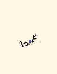 Nc1nc(N)c(C(=O)/N=C2\NCC3(CCN(C(=O)c4ccncn4)CC3)N2)nc1Cl